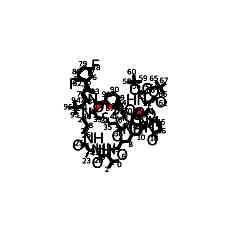 CC(C)[C@H](NC(=O)CCCCCN1C(=O)C=CC1=O)C(=O)N[C@@H](C)C(=O)NCCCN(C(=O)CSCCC(=O)N[C@](CC[Si](C)(C)C)(CNC(=O)C[C@H](NC(=O)OC(C)(C)C)C(=O)OC(C)(C)C)C(=O)O)[C@@H](c1cc(-c2cc(F)ccc2F)cn1Cc1ccccc1)C(C)(C)C